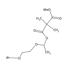 COC(=O)C(C)(C)C(=O)OC(C)OCCOC(C)C